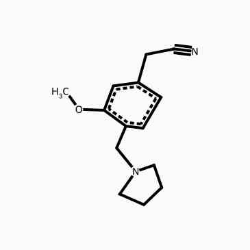 COc1cc(CC#N)ccc1CN1CCCC1